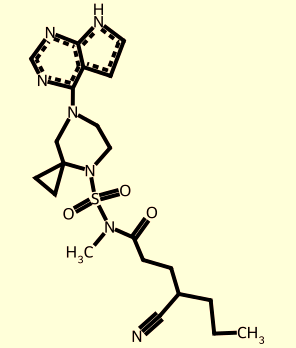 CCCC(C#N)CCC(=O)N(C)S(=O)(=O)N1CCN(c2ncnc3[nH]ccc23)CC12CC2